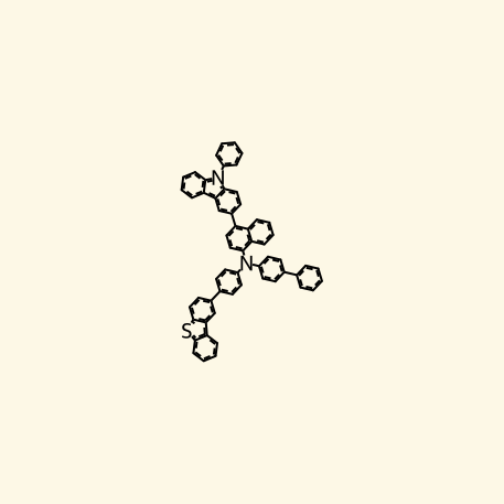 c1ccc(-c2ccc(N(c3ccc(-c4ccc5sc6ccccc6c5c4)cc3)c3ccc(-c4ccc5c(c4)c4ccccc4n5-c4ccccc4)c4ccccc34)cc2)cc1